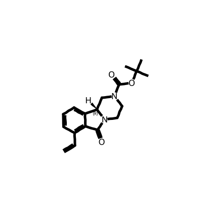 C=Cc1cccc2c1C(=O)N1CCN(C(=O)OC(C)(C)C)C[C@@H]21